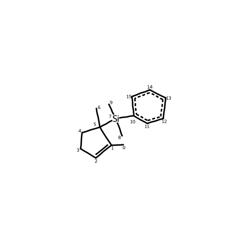 CC1=CCCC1(C)[Si](C)(C)c1ccccc1